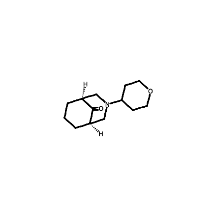 O=C1[C@@H]2CCC[C@H]1CN(C1CCOCC1)C2